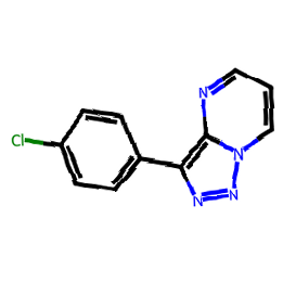 Clc1ccc(-c2nnn3cccnc23)cc1